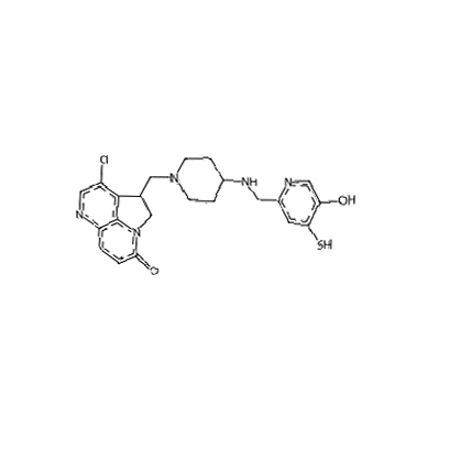 O=c1ccc2ncc(Cl)c3c2n1CC3CN1CCC(NCc2cc(S)c(O)cn2)CC1